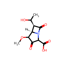 COC1C(=O)C(C(=O)O)N2C(=O)[C@H](C(C)O)[C@H]12